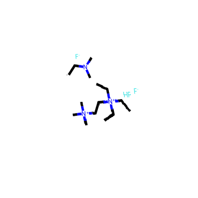 CC[N+](CC)(CC)CC[N+](C)(C)C.F.[CH2]CN(C)C.[F-].[F-]